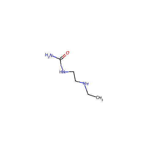 CCNCCNC(N)=O